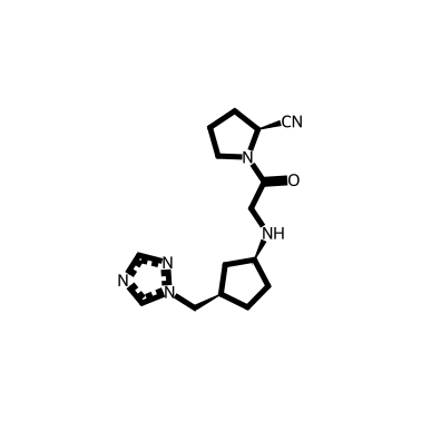 N#C[C@@H]1CCCN1C(=O)CN[C@H]1CC[C@@H](Cn2cncn2)C1